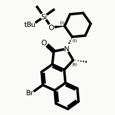 C[C@@H]1c2c(cc(Br)c3ccccc23)C(=O)N1[C@H]1CCCC[C@@H]1O[Si](C)(C)C(C)(C)C